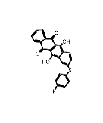 O=C1c2ccccc2C(=O)c2c1c(O)c1ccc(Sc3ccc(F)cc3)cc1c2O